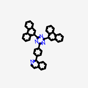 c1ccc2c(-c3ccc(-c4nc(-c5cc6ccccc6c6ccccc56)nc(-c5cc6ccccc6c6ccccc56)n4)cc3)nccc2c1